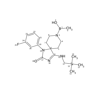 CB(O)N1CCC2(CC1)C(NC[Si](C)(C)C)=NC(=O)N2c1cccc(F)c1